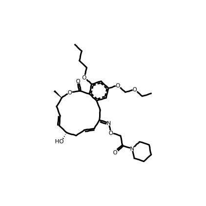 CCCCOc1cc(OCOCC)cc2c1C(=O)O[C@H](C)C/C=C/[C@@H](O)C/C=C/C(=NOCC(=O)N1CCCCC1)C2